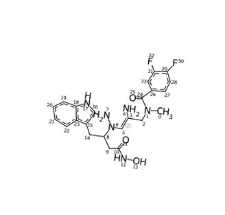 CN(C/C(N)=C/N(N)C(CC(=O)NO)Cc1c[nH]c2ccccc12)C(=O)c1ccc(F)c(F)c1